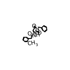 Cc1ccccc1CC(=O)NN1CC(=O)N(Cc2ccccc2)C1=O